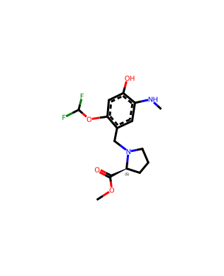 CNc1cc(CN2CCC[C@H]2C(=O)OC)c(OC(F)F)cc1O